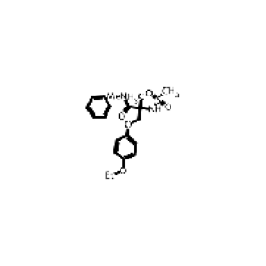 CCOc1ccc(OCC(C)(NS(C)(=O)=O)C(=O)NC)cc1.c1ccccc1